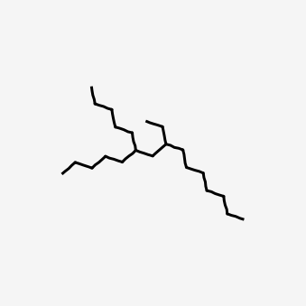 CCCCCCCC(CC)CC(CCCCC)CCCCC